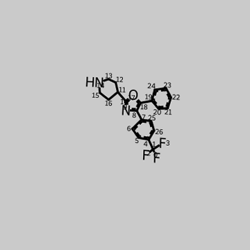 FC(F)(F)c1ccc(-c2nc(C3CCNCC3)oc2-c2ccccc2)cc1